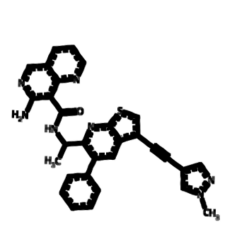 CC(NC(=O)c1c(N)ncc2cccnc12)c1nc2scc(C#Cc3cnn(C)c3)c2cc1-c1ccccc1